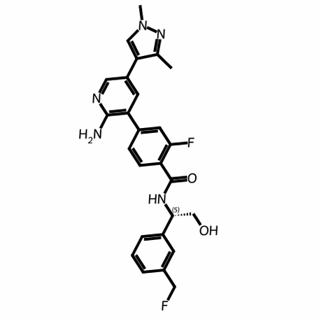 Cc1nn(C)cc1-c1cnc(N)c(-c2ccc(C(=O)N[C@H](CO)c3cccc(CF)c3)c(F)c2)c1